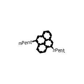 CCCCCc1cc2cccc3cc(CCCCC)c4cccc1c4c23